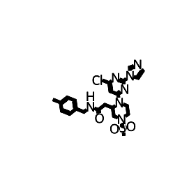 Cc1ccc(CNC(=O)CC2CN(S(C)(=O)=O)CCN2c2cc(Cl)nc(-n3ccnc3)n2)cc1